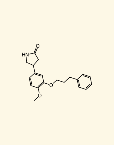 COc1ccc(C2CNC(=O)C2)cc1OCCCc1ccccc1